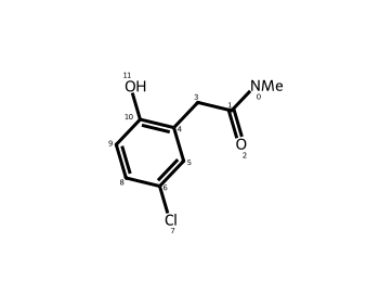 CNC(=O)Cc1cc(Cl)ccc1O